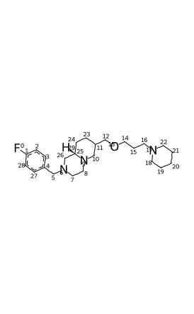 Fc1ccc(CN2CCN3CC(COCCCN4CCCCC4)CC[C@H]3C2)cc1